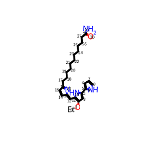 CCOc1cc(-c2ccc[nH]2)[nH]c1C=C1C=CC(CCCCCCCCCCCC(N)=O)=N1